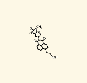 Cn1c(=O)[nH]c2cc(N3C(=O)c4cccc5c(CCCO)ccc(c45)C3=O)ccc21